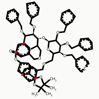 CC1(C)OB(c2ccc(OS(=O)(=O)C[C@@H]3OC(COCc4ccccc4)[C@@H](O[C@@H]4OC(COCc5ccccc5)[C@H](OCc5ccccc5)[C@H](OCc5ccccc5)C4OCc4ccccc4)[C@H](OCc4ccccc4)C3OCc3ccccc3)cc2)OC1(C)C